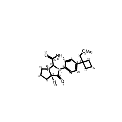 COCC1(c2ccc(N3C(=O)[C@@H]4[CH]CCN4C3C(N)=O)cc2)CCC1